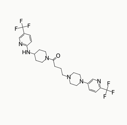 O=C(CCCN1CCN(c2ccc(C(F)(F)F)nc2)CC1)N1CCC(Nc2ccc(C(F)(F)F)cn2)CC1